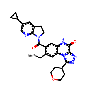 COCc1cc2c(cc1C(=O)N1CCc3cc(C4CC4)cnc31)[nH]c(=O)c1nnc(C3CCOCC3)n12